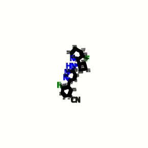 N#Cc1ccc(F)c(-c2ccc(NC3(c4ncccc4F)CCC3)nn2)c1